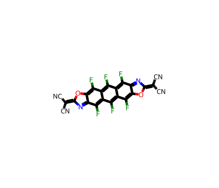 N#CC(C#N)=c1nc2c(F)c3c(F)c4c(F)c5oc(=C(C#N)C#N)nc5c(F)c4c(F)c3c(F)c2o1